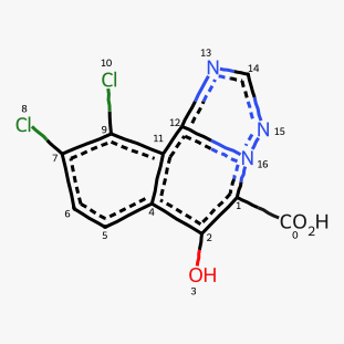 O=C(O)c1c(O)c2ccc(Cl)c(Cl)c2c2ncnn12